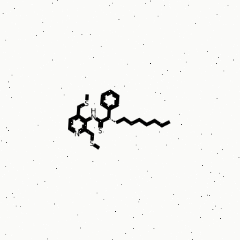 CCCCCCCC[C@H](C(=S)Nc1c(CSC)ccnc1CSC)c1ccccc1